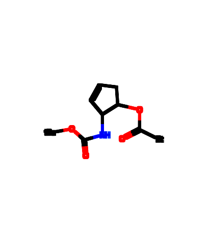 CCC(=O)OC1CC=CC1NC(=O)OC(C)(C)C